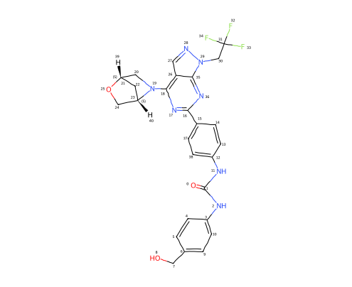 O=C(Nc1ccc(CO)cc1)Nc1ccc(-c2nc(N3C[C@@H]4C[C@H]3CO4)c3cnn(CC(F)(F)F)c3n2)cc1